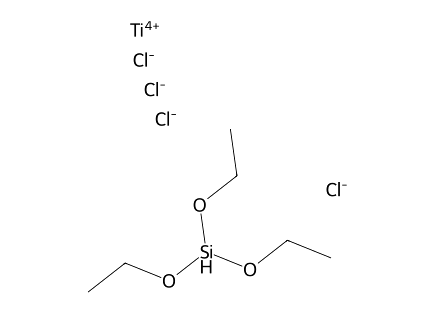 CCO[SiH](OCC)OCC.[Cl-].[Cl-].[Cl-].[Cl-].[Ti+4]